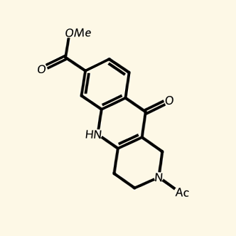 COC(=O)c1ccc2c(=O)c3c([nH]c2c1)CCN(C(C)=O)C3